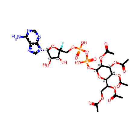 CC(=O)OCC(OC(C)=O)[C@H]1O[C@@H](OP(=O)(O)OP(=O)(O)OCC2(F)O[C@@H](n3cnc4c(N)ncnc43)[C@H](O)[C@@H]2O)[C@@H](OC(C)=O)[C@@H](OC(C)=O)[C@@H]1OC(C)=O